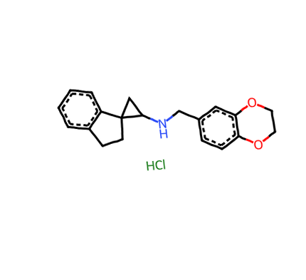 Cl.c1ccc2c(c1)CCC21CC1NCc1ccc2c(c1)OCCO2